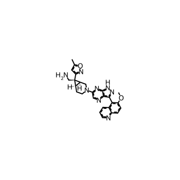 COc1ccc2ncccc2c1-c1n[nH]c2nc(N3CC[C@@H]4[C@H](C3)[C@@]4(CN)c3cc(C)on3)cnc12